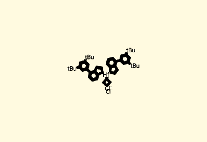 CC(C)(C)c1cc(-c2cccc3c2C=C[CH]3[Hf+2](=[C]2CCC2)[CH]2C=Cc3c(-c4cc(C(C)(C)C)cc(C(C)(C)C)c4)cccc32)cc(C(C)(C)C)c1.[Cl-].[Cl-]